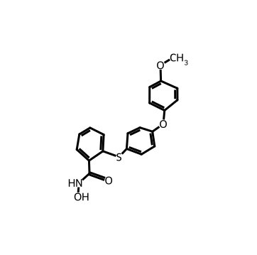 COc1ccc(Oc2ccc(Sc3ccccc3C(=O)NO)cc2)cc1